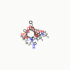 CC[C@H]1OC(=O)[C@H](C)[C@@H](OC(=O)Cc2ccccc2)[C@H](C)[C@@H](OC2OC(C)CC(N(C)C)C2O)[C@](C)(OC)C[C@@H](C)/C(=N\N=C(/C)c2ccc[nH]2)[C@H](C)[C@@H](O)[C@]1(C)O